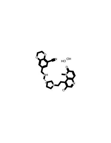 Cl.Cl.Cn1c(=O)ccc2ncc(Cl)c(CCN3CC[C@H](CNCc4cc(C#N)c5c(c4)OCCO5)C3)c21